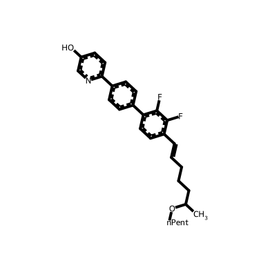 CCCCCOC(C)CCC/C=C/c1ccc(-c2ccc(-c3ccc(O)cn3)cc2)c(F)c1F